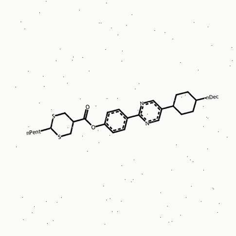 CCCCCCCCCCC1CCC(c2cnc(-c3ccc(OC(=O)C4CSC(CCCCC)SC4)cc3)nc2)CC1